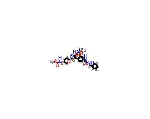 CC(C)OC(=O)NS[C@@H]1CC[C@@H](c2ncc(-c3ccc(NC(=O)NCc4ccccc4)cc3S(=O)(=O)NC(C)(C)C)s2)OC1